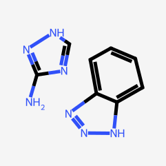 Nc1nc[nH]n1.c1ccc2[nH]nnc2c1